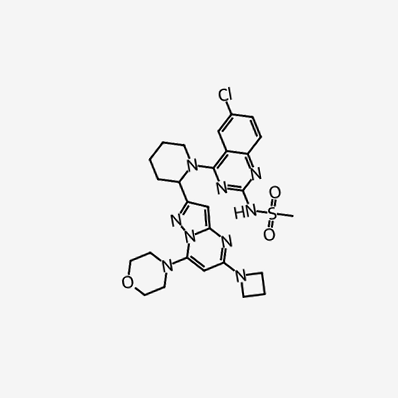 CS(=O)(=O)Nc1nc(N2CCCCC2c2cc3nc(N4CCC4)cc(N4CCOCC4)n3n2)c2cc(Cl)ccc2n1